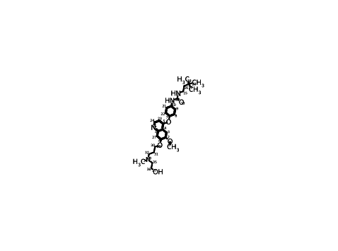 COc1cc2c(Oc3ccc(NC(=O)NCCC(C)(C)C)cc3)ccnc2cc1OCCCN(C)CCO